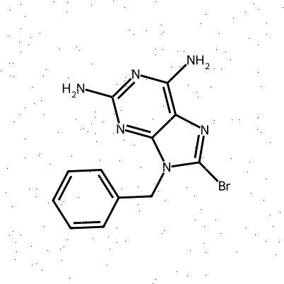 Nc1nc(N)c2nc(Br)n(Cc3ccccc3)c2n1